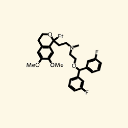 CCC1(CCN(C)CCOC(c2cccc(F)c2)c2cccc(F)c2)OCCc2cc(OC)c(OC)cc21